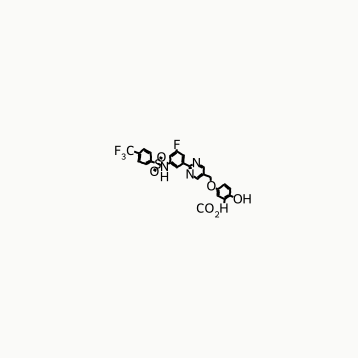 O=C(O)c1cc(OCc2cnc(-c3cc(F)cc(NS(=O)(=O)c4ccc(C(F)(F)F)cc4)c3)nc2)ccc1O